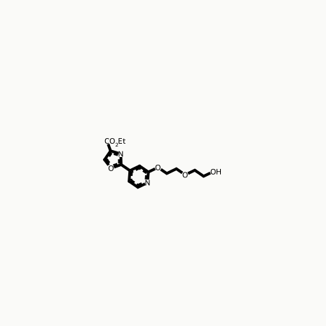 CCOC(=O)c1coc(-c2ccnc(OCCOCCO)c2)n1